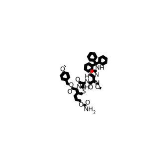 CO/N=C(\C(=O)NC1C(=O)N2C(C(=O)OCc3ccc(OC)cc3)=C(/C=C\COC(N)=O)CS[C@H]12)c1csc(NC(c2ccccc2)(c2ccccc2)c2ccccc2)n1